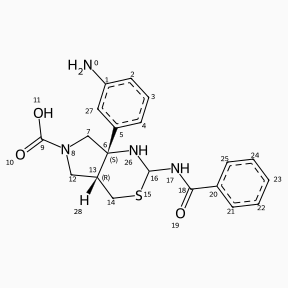 Nc1cccc([C@]23CN(C(=O)O)C[C@H]2CSC(NC(=O)c2ccccc2)N3)c1